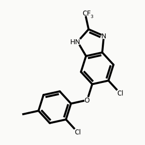 Cc1ccc(Oc2cc3[nH]c(C(F)(F)F)nc3cc2Cl)c(Cl)c1